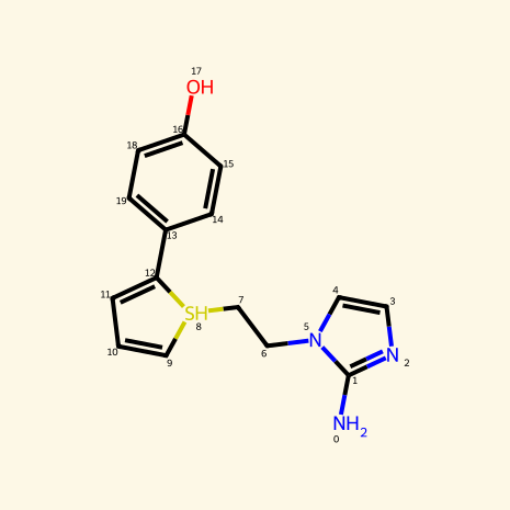 Nc1nccn1CC[SH]1C=CC=C1c1ccc(O)cc1